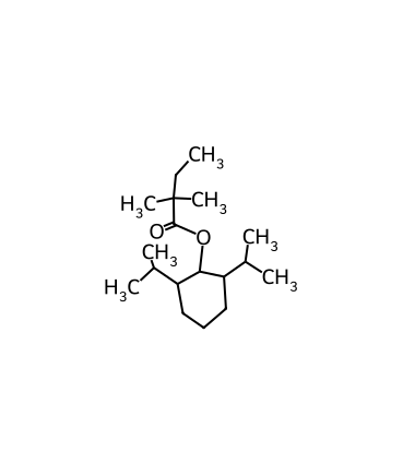 CCC(C)(C)C(=O)OC1C(C(C)C)CCCC1C(C)C